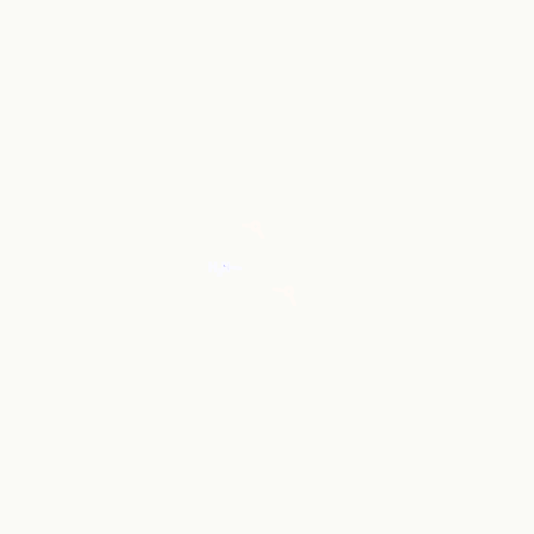 C=CCOC(C)C(N)C(C)OCC=C